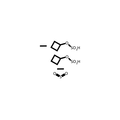 CC.CC.O=S(=O)(O)OC1CCC1.O=S(=O)(O)OC1CCC1.O=S=O